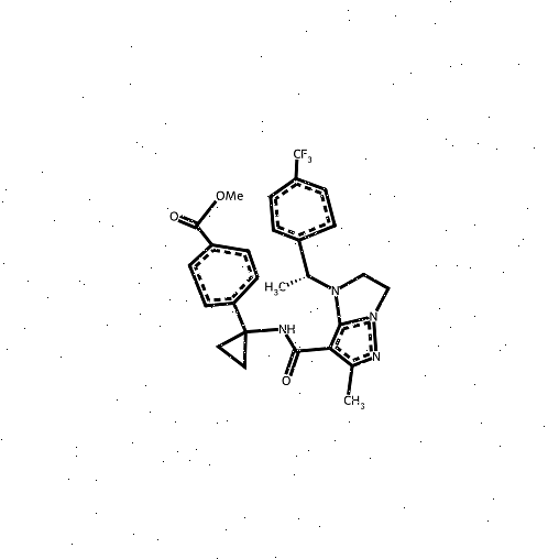 COC(=O)c1ccc(C2(NC(=O)c3c(C)nn4c3N([C@H](C)c3ccc(C(F)(F)F)cc3)CC4)CC2)cc1